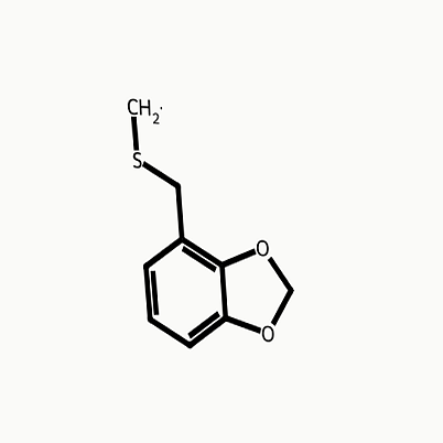 [CH2]SCc1cccc2c1OCO2